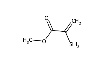 C=C([SiH3])C(=O)OC